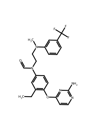 CCc1cc(N(C=O)CCN(C)c2cccc(C(F)(F)F)c2)ccc1Oc1ccnc(N)n1